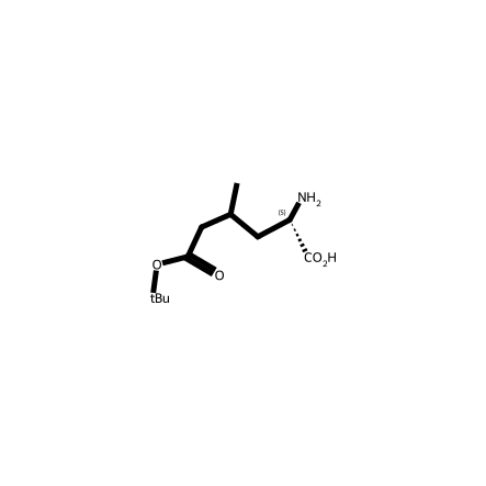 CC(CC(=O)OC(C)(C)C)C[C@H](N)C(=O)O